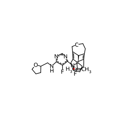 CC(C)(F)C1C2=C3CCCCC(=C1CCCC2)C3[C@H]1CCCN1c1ncnc(NCC2CCCO2)c1F